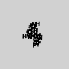 Fc1ccc(-c2nccc3[nH]c(-c4n[nH]c5ccc(C6CCNCC6)cc45)cc23)s1